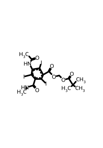 CNC(=O)c1c(I)c(NC(C)=O)c(I)c(C(=O)OCOC(=O)C(C)(C)C)c1I